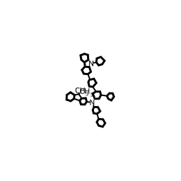 CC1(C)c2ccccc2-c2ccc(N(c3ccc(-c4ccccc4)cc3)c3cc(-c4ccccc4)cc(-c4ccc(-c5ccc6c7ccccc7n(-c7ccccc7)c6c5)cc4)c3)cc21